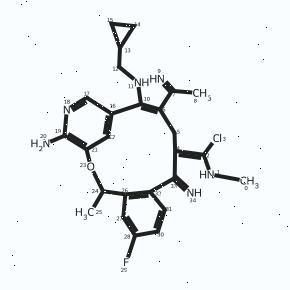 CN/C(Cl)=C1/C/C(C(C)=N)=C(/NCC2CC2)c2cnc(N)c(c2)OC(C)c2cc(F)ccc2C1=N